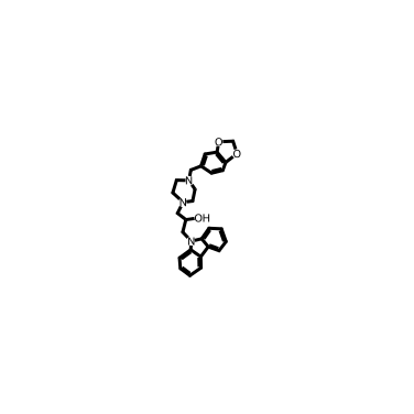 OC(CN1CCN(Cc2ccc3c(c2)OCO3)CC1)Cn1c2ccccc2c2ccccc21